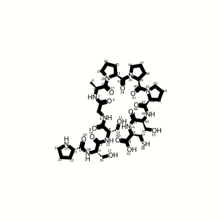 C[C@H](NC(=O)CNC(=O)[C@H](CO)NC(=O)[C@H](CO)NC(=O)[C@@H]1CCCN1)C(=O)N1CCC[C@H]1C(=O)N1CCC[C@H]1C(=O)N1CCC[C@H]1C(=O)N[C@@H](CO)C(=O)N[C@@H](CS)C(=O)O